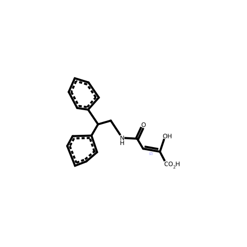 O=C(/C=C(\O)C(=O)O)NCC(c1ccccc1)c1ccccc1